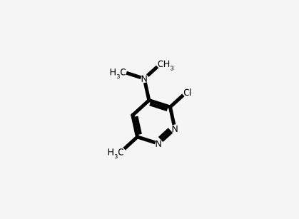 Cc1cc(N(C)C)c(Cl)nn1